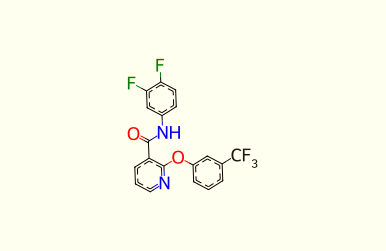 O=C(Nc1ccc(F)c(F)c1)c1cccnc1Oc1cccc(C(F)(F)F)c1